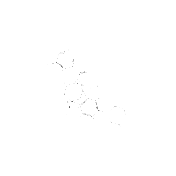 O=C(c1cccc(Cl)c1)N1CC[C@@H]2C[C@@H]1c1cc(N3CCOCC3)ccc12